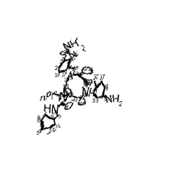 CCCN(C(=O)NCc1ccccc1)N1CCN(Cc2cccc3sc(N)nc23)C(=O)[C@H](Cc2ccc(N)cc2)NC(=O)C1